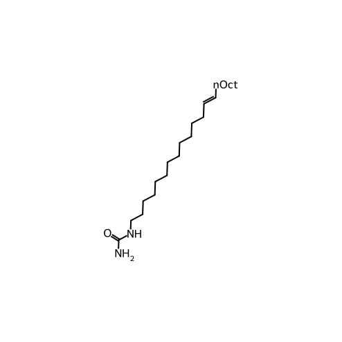 CCCCCCCCC=CCCCCCCCCCCCCNC(N)=O